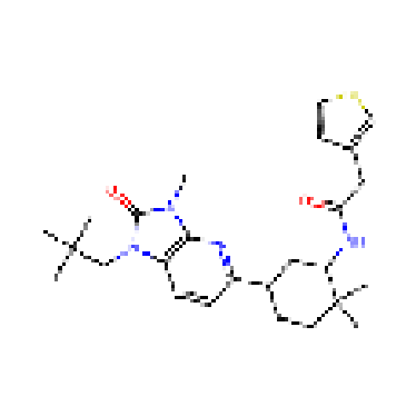 Cn1c(=O)n(CC(C)(C)C)c2ccc(C3CCC(C)(C)C(NC(=O)Cc4ccsc4)C3)nc21